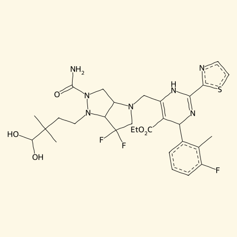 CCOC(=O)C1=C(CN2CC(F)(F)C3C2CN(C(N)=O)N3CCC(C)(C)C(O)O)NC(c2nccs2)=NC1c1cccc(F)c1C